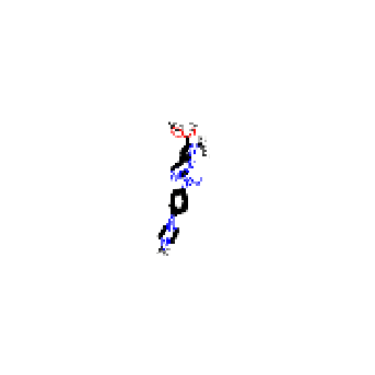 CCOC(OCC)c1cc2cnc(Nc3ccc(N4CCN(C(C)=O)CC4)cc3)nc2n1C(CC)CC